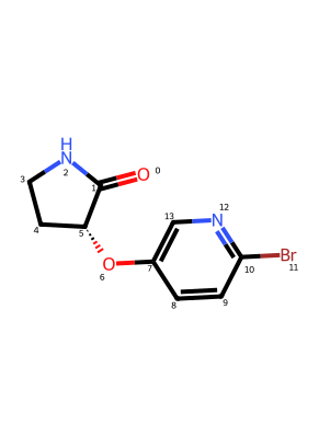 O=C1NCC[C@H]1Oc1ccc(Br)nc1